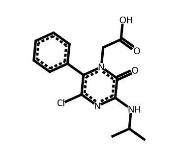 CC(C)Nc1nc(Cl)c(-c2ccccc2)n(CC(=O)O)c1=O